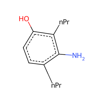 CCCc1ccc(O)c(CCC)c1N